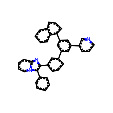 c1ccc(-c2c(-c3cccc(-c4cc(-c5cccnc5)cc(-c5cccc6ccccc56)c4)c3)nc3ccccn23)cc1